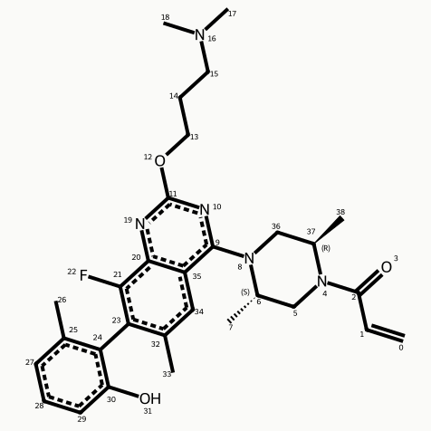 C=CC(=O)N1C[C@H](C)N(c2nc(OCCCN(C)C)nc3c(F)c(-c4c(C)cccc4O)c(C)cc23)C[C@H]1C